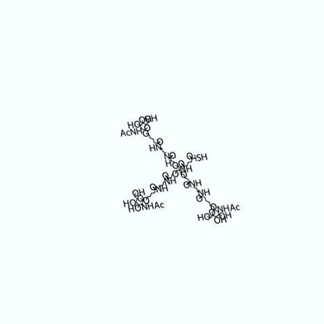 CC(=O)NC1C(OCCCCC(=O)NCCCNC(=O)CCOCC(COCCC(=O)NCCCNC(=O)CCCCOC2OC(CO)C(O)C(O)C2NC(C)=O)(COCCC(=O)NCCCNC(=O)CCCCOC2OC(CO)C(O)C(O)C2NC(C)=O)NC(=O)CCCC(=O)C(C)(C)S)OC(CO)C(O)C1O